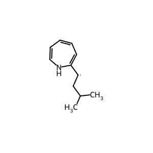 CC(C)C[CH]C1=CC=CC=CN1